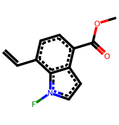 C=Cc1ccc(C(=O)OC)c2ccn(F)c12